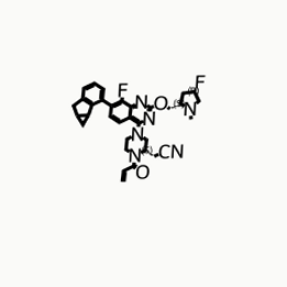 C=CC(=O)N1CCN(c2nc(OC[C@@H]3C[C@@H](F)CN3C)nc3c(F)c(-c4cccc5c4C4CC4C5)ccc23)C[C@@H]1CC#N